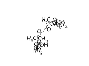 CC(C)(CCCC(=O)CCC(=O)CCC(C)(C)COP(=O)(O)OON)COP(N)(=O)O